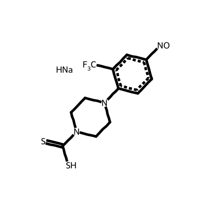 O=Nc1ccc(N2CCN(C(=S)S)CC2)c(C(F)(F)F)c1.[NaH]